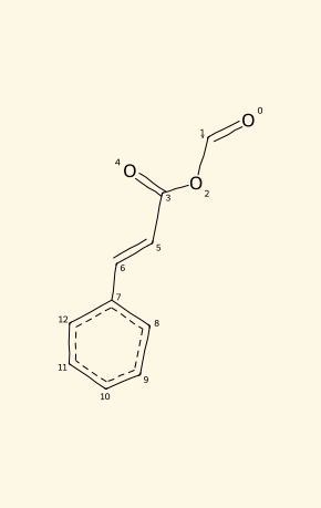 O=[C]OC(=O)/C=C/c1ccccc1